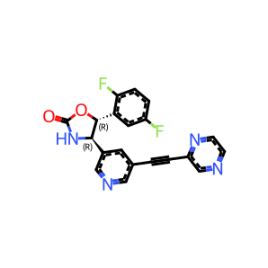 O=C1N[C@H](c2cncc(C#Cc3cnccn3)c2)[C@@H](c2cc(F)ccc2F)O1